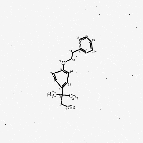 CC(C)(C)CC(C)(C)c1ccc(OCCc2cc[c]cc2)cc1